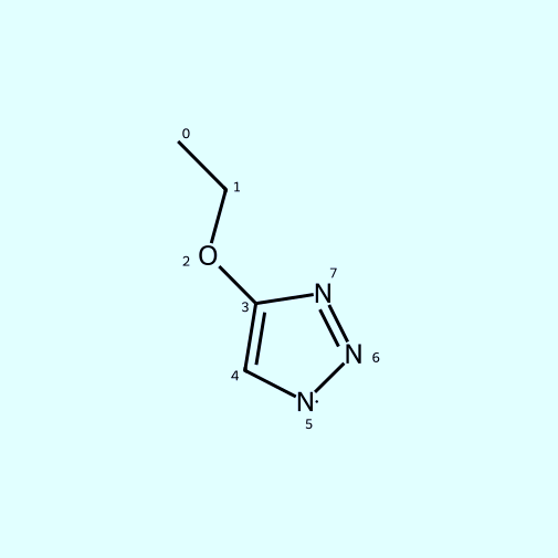 CCOC1=C[N]N=N1